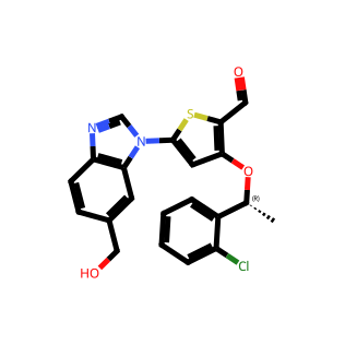 C[C@@H](Oc1cc(-n2cnc3ccc(CO)cc32)sc1C=O)c1ccccc1Cl